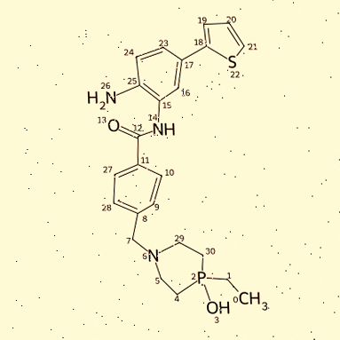 CC[P]1(O)CCN(Cc2ccc(C(=O)Nc3cc(-c4cccs4)ccc3N)cc2)CC1